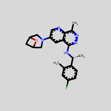 Cc1cc(F)ccc1[C@@H](C)Nc1nnc(C)c2ncc(N3CC4CC(C3)O4)cc12